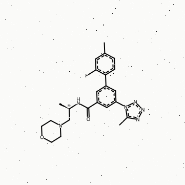 Cc1ccc(-c2cc(C(=O)N[C@H](C)CN3CCOCC3)cc(-n3nnnc3C)c2)c(F)c1